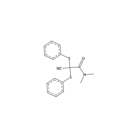 CN(C)C(=O)C(C#N)(Sc1ccccc1)Sc1ccccc1